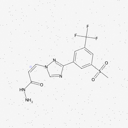 CS(=O)(=O)c1cc(-c2ncn(/C=C\C(=O)NN)n2)cc(C(F)(F)F)c1